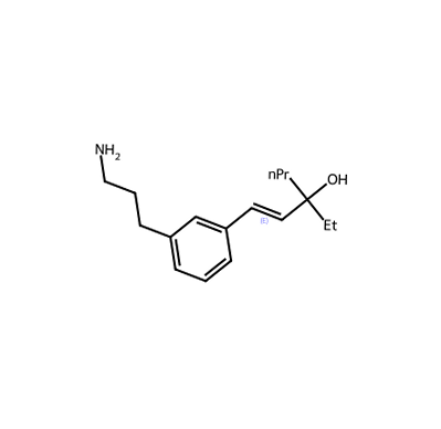 CCCC(O)(/C=C/c1cccc(CCCN)c1)CC